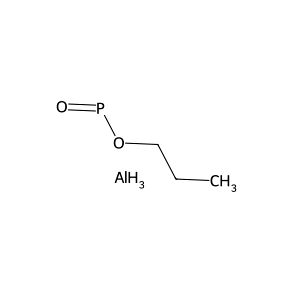 CCCOP=O.[AlH3]